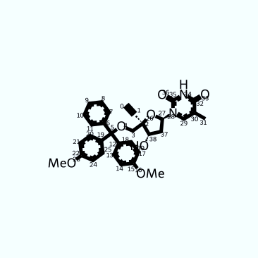 C#C[C@]1(COC(c2ccccc2)(c2ccc(OC)cc2)c2ccc(OC)cc2)O[C@@H](n2cc(C)c(=O)[nH]c2=O)C[C@@H]1O